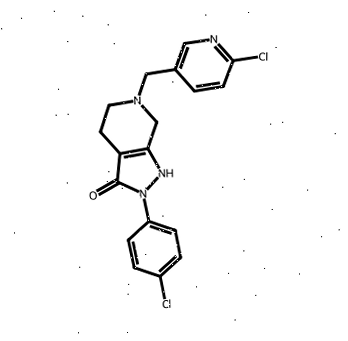 O=c1c2c([nH]n1-c1ccc(Cl)cc1)CN(Cc1ccc(Cl)nc1)CC2